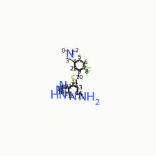 CN(C)Cc1ccc(F)c(CSc2cc(N)nc3[nH]nnc23)c1